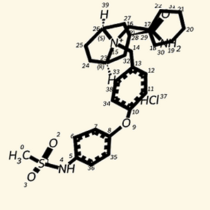 CS(=O)(=O)Nc1ccc(Oc2ccc(C[N+]3(CC4CCCCC4)[C@@H]4CC[C@H]3C[C@@H](C(N)=O)C4)cc2)cc1.Cl